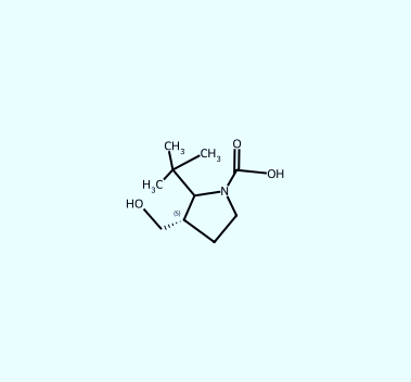 CC(C)(C)C1[C@@H](CO)CCN1C(=O)O